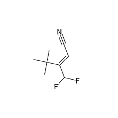 CC(C)(C)/C(=C\C#N)C(F)F